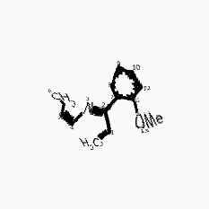 C=C/C(=N\C=C/C)c1ccccc1OC